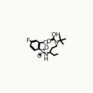 CCC(CCN(C(=O)O)C(C)(C)C)NS(=O)(=O)c1ccc(F)cc1Cl